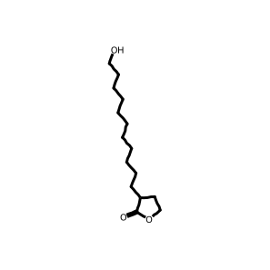 O=C1OCCC1CCCCCCCCCCCO